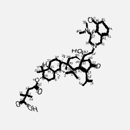 CCC[C@@H]1[C@@]2(C)CC[C@H](OC(=O)CC(C)(C)C(=O)O)C(C)(C)[C@@H]2CC[C@@]1(C)[C@]1(C)CC[C@@]2([C@H](O)CN(CCN(C)C)Cc3cccc(Cl)c3F)CC(=O)C(C(C)C)=C2C1